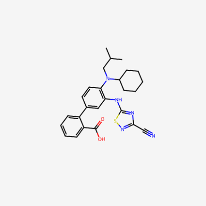 CC(C)CN(c1ccc(-c2ccccc2C(=O)O)cc1Nc1nc(C#N)ns1)C1CCCCC1